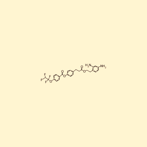 Nc1ccc(CCOC(=O)CCc2ccc(OC(=O)c3ccc(OC(F)(F)C(F)F)cc3)cc2)c(N)c1